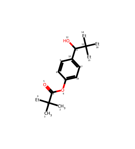 CCC(C)(C)C(=O)Oc1ccc(C(O)C(CC)(CC)CC)cc1